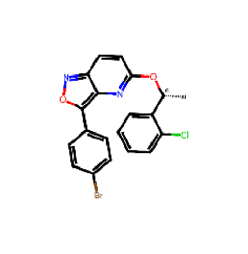 C[C@@H](Oc1ccc2noc(-c3ccc(Br)cc3)c2n1)c1ccccc1Cl